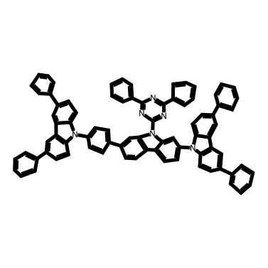 c1ccc(-c2ccc3c(c2)c2cc(-c4ccccc4)ccc2n3-c2ccc(-c3ccc4c5ccc(-n6c7ccc(-c8ccccc8)cc7c7cc(-c8ccccc8)ccc76)cc5n(-c5nc(-c6ccccc6)nc(-c6ccccc6)n5)c4c3)cc2)cc1